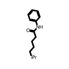 CC(C)CCCCC(=O)Nc1ccccc1